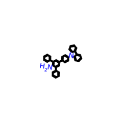 Nc1c(-c2ccccc2)cc(-c2ccc(-n3c4ccccc4c4ccccc43)cc2)cc1-c1ccccc1